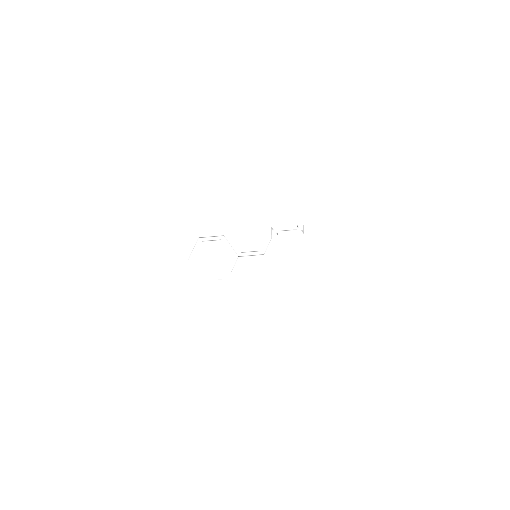 C/C=C\C(=C/NN)CC